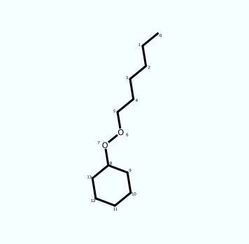 CCCCCCOOC1CCCCC1